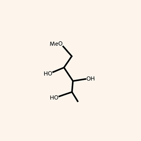 COCC(O)C(O)C(C)O